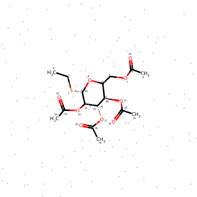 CCS[C@@H]1OC(COC(C)=O)[C@@H](OC(C)=O)[C@H](OC(C)=O)C1OC(C)=O